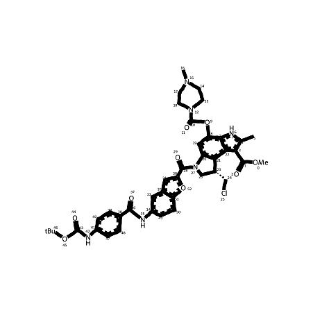 COC(=O)c1c(C)[nH]c2c(OC(=O)N3CCN(C)CC3)cc3c(c12)[C@H](CCl)CN3C(=O)c1cc2cc(NC(=O)c3ccc(NC(=O)OC(C)(C)C)cc3)ccc2o1